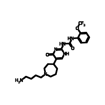 NCCCCN1CCCC(c2c[nH]c(NC(=O)Nc3ccccc3OC(F)(F)F)nc2=O)CC1